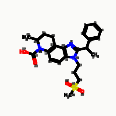 CC(c1ccccc1)c1nc2c3c(ccc2n1CCCS(C)(=O)=O)N(C(=O)O)C(C)CC3